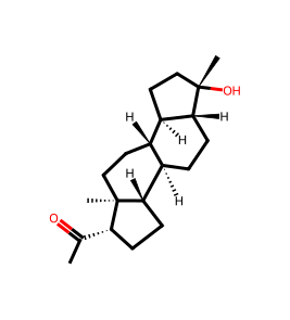 CC(=O)[C@H]1CC[C@H]2[C@@H]3CC[C@@H]4[C@H](CC[C@]4(C)O)[C@H]3CC[C@]12C